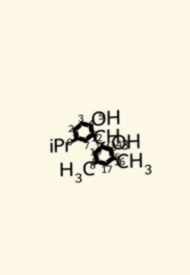 CC(C)c1ccc(O)cc1.Cc1cc(C)c(O)c(C)c1